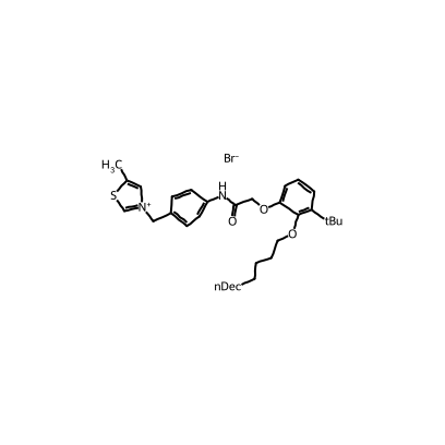 CCCCCCCCCCCCCCOc1c(OCC(=O)Nc2ccc(C[n+]3csc(C)c3)cc2)cccc1C(C)(C)C.[Br-]